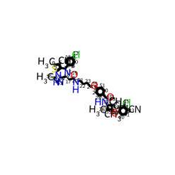 Cc1sc2c(c1C)C(c1ccc(Cl)cc1)=N[C@@H](CC(=O)NCCCCOc1ccc(C(=O)NC3C(C)(C)C(Oc4ccc(C#N)c(Cl)c4)C3(C)C)cc1)c1nnc(C)n1-2